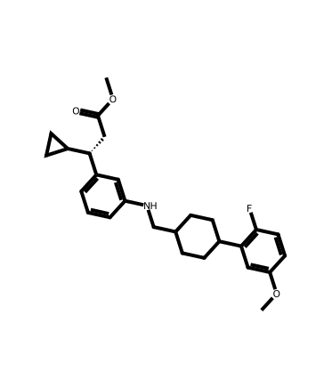 COC(=O)C[C@H](c1cccc(NCC2CCC(c3cc(OC)ccc3F)CC2)c1)C1CC1